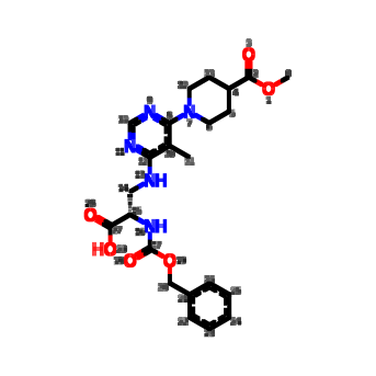 COC(=O)C1CCN(c2ncnc(NC[C@H](NC(=O)OCc3ccccc3)C(=O)O)c2C)CC1